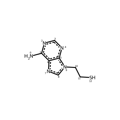 Nc1ncnc2c1ncn2CCS